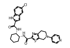 O=C(N[C@H]1CCCC[C@H]1NC(=O)c1nc2c(s1)CN(c1ccncc1)CC2)c1cc2cc(Cl)ccc2[nH]1